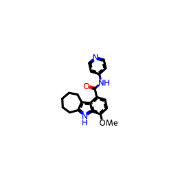 COc1ccc(C(=O)Nc2ccncc2)c2c3c([nH]c12)CCCCC3